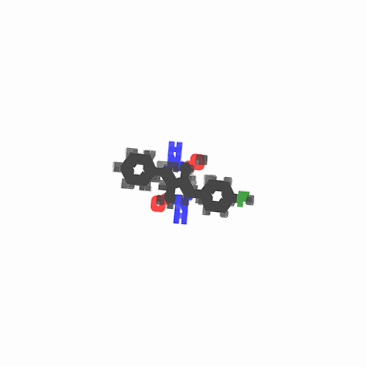 O=C1NC(c2ccc(F)cc2)=C2C(=O)NC(c3ccccc3)=C12